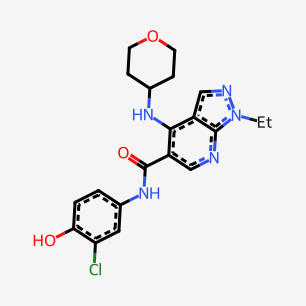 CCn1ncc2c(NC3CCOCC3)c(C(=O)Nc3ccc(O)c(Cl)c3)cnc21